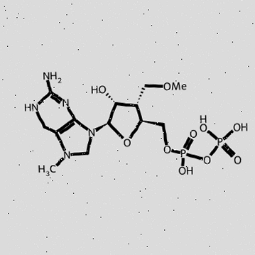 COC[C@H]1[C@@H](O)[C@H](N2CN(C)C3=C2N=C(N)NC3)O[C@@H]1COP(=O)(O)OP(=O)(O)O